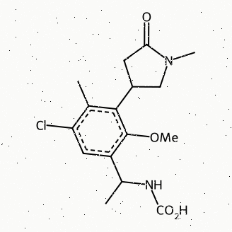 COc1c(C(C)NC(=O)O)cc(Cl)c(C)c1C1CC(=O)N(C)C1